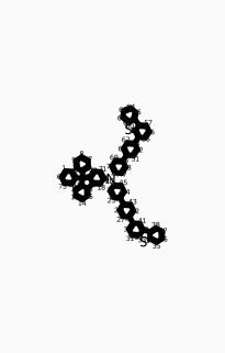 c1ccc(C2(c3ccccc3)c3ccccc3-c3cc(N(c4ccc(-c5ccc(-c6ccc7sc8ccccc8c7c6)cc5)cc4)c4ccc(-c5ccc(-c6cccc7c6sc6ccccc67)cc5)cc4)ccc32)cc1